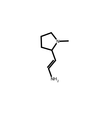 CN1CCCC1/C=C/N